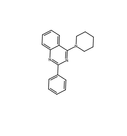 c1ccc(-c2nc(N3CCCCC3)c3ccccc3n2)cc1